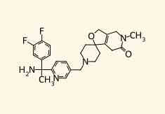 CN1CC2=C(CC1=O)C1(CCN(Cc3ccc(C(C)(N)c4ccc(F)c(F)c4)nc3)CC1)OC2